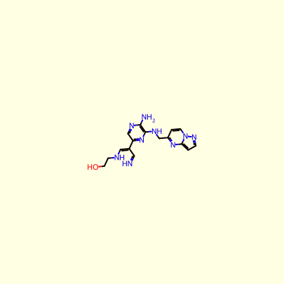 N=C/C(=C\NCCO)c1cnc(N)c(NCc2ccn3nccc3n2)n1